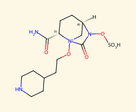 NC(=O)[C@@H]1CC[C@@H]2C[N+]1(OCCC1CCNCC1)C(=O)N2OS(=O)(=O)O